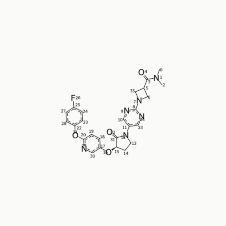 CN(C)C(=O)C1CN(c2ncc(N3CC[C@@H](Oc4ccc(Oc5ccc(F)cc5)nc4)C3=O)cn2)C1